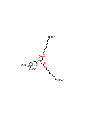 CCCCCCCCCCCCCCCCCCOC(=O)CC(CC(=O)OCCCCCCCCCCCCCCCCCC)NC(=O)CN1C[C@@H](OC)[C@H](OC)C1